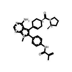 C=C(C)C(=O)Nc1ccc(-c2c(C3=CC[C@H](C(=O)N4CCC[C@H]4C)CC3)c3c(N)ncnc3n2C)cc1